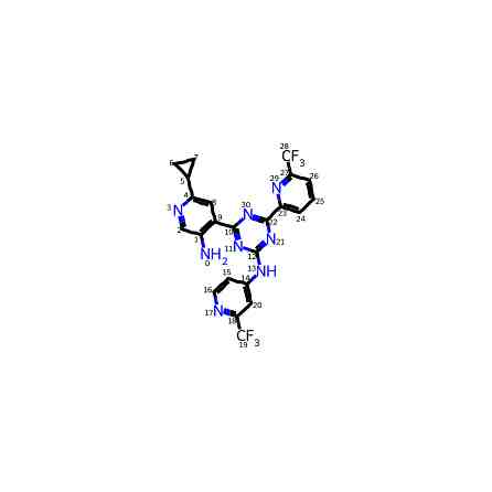 Nc1cnc(C2CC2)cc1-c1nc(Nc2ccnc(C(F)(F)F)c2)nc(-c2cccc(C(F)(F)F)n2)n1